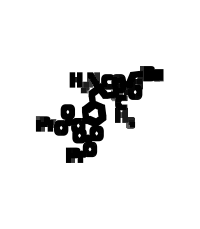 CCC(C)CC(=O)O[C@@H](C)CC(N)(Cc1ccc(OC(=O)OC(C)C)c(OC(=O)OC(C)C)c1)C(=O)O